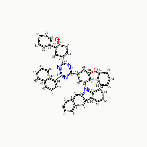 c1ccc2cc3c(cc2c1)c1ccccc1n3-c1cc(-c2nc(-c3ccc4oc5ccccc5c4c3)nc(-c3cccc4ccccc34)n2)cc2oc3ccccc3c12